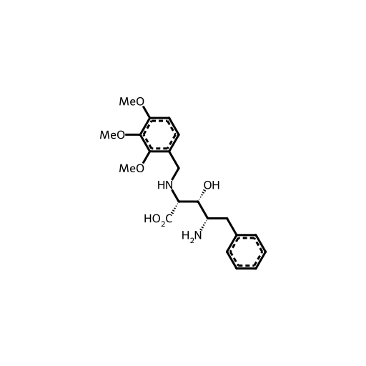 COc1ccc(CN[C@@H](C(=O)O)[C@H](O)[C@@H](N)Cc2ccccc2)c(OC)c1OC